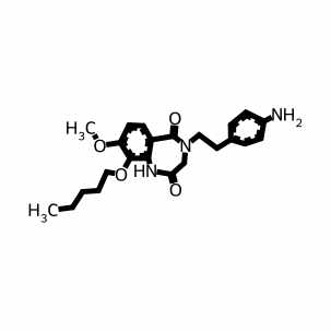 CCCCCOc1c(OC)ccc2c1NC(=O)CN(CCc1ccc(N)cc1)C2=O